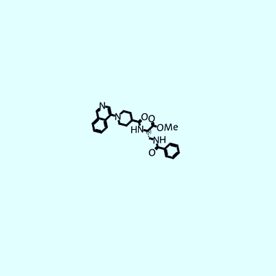 COC(=O)[C@H](CNC(=O)c1ccccc1)NC(=O)C1CCN(c2cncc3ccccc23)CC1